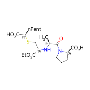 CCCCC[C@@H](SC[C@H](N[C@@H](C)C(=O)N1CCC[C@@H]1C(=O)O)C(=O)OCC)C(=O)O